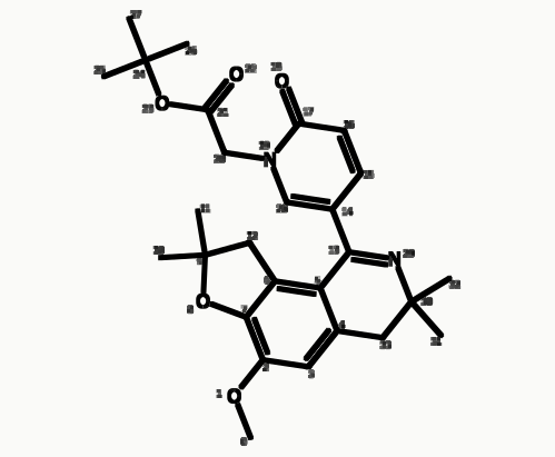 COc1cc2c(c3c1OC(C)(C)C3)C(c1ccc(=O)n(CC(=O)OC(C)(C)C)c1)=NC(C)(C)C2